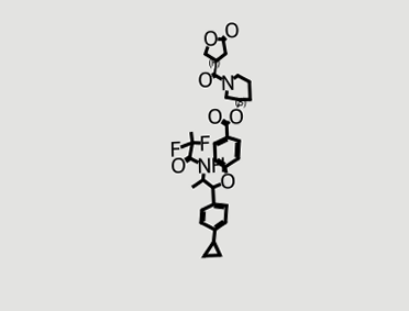 CC(NC(=O)C(C)(F)F)C(Oc1ccc(C(=O)O[C@H]2CCCN(C(=O)[C@H]3COC(=O)C3)C2)cc1)c1ccc(C2CC2)cc1